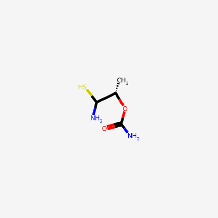 C[C@H](OC(N)=O)C(N)S